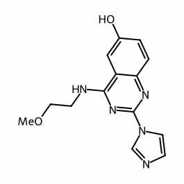 COCCNc1nc(-n2ccnc2)nc2ccc(O)cc12